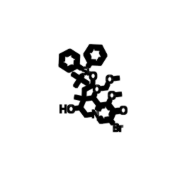 COCOC1c2c(OC)c(=O)c(Br)cn2CC(O)C1(C)CCO[Si](c1ccccc1)(c1ccccc1)C(C)(C)C